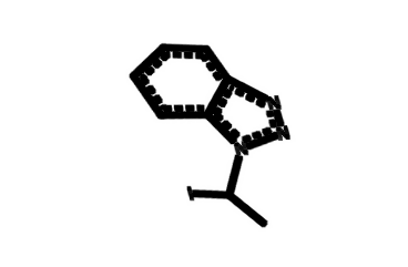 CC(I)n1nnc2ccccc21